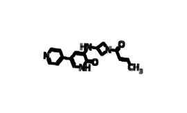 CC=CC(=O)N1CC(Nc2cc(-c3ccncc3)c[nH]c2=O)C1